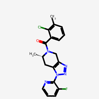 C[C@H]1Cc2c(nnn2-c2ncccc2F)CN1C(=O)c1cccc(C(F)(F)F)c1Cl